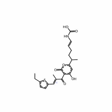 CCc1ccc(/C=C(\C)C(=O)c2c(O)cc(C(C)CCC=CNC(=O)O)oc2=O)s1